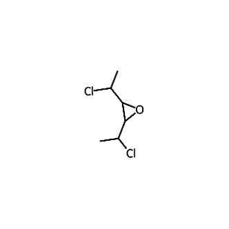 CC(Cl)C1OC1C(C)Cl